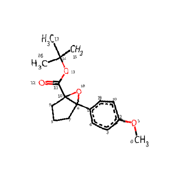 COc1ccc(C23CCCC2(C(=O)OC(C)(C)C)O3)cc1